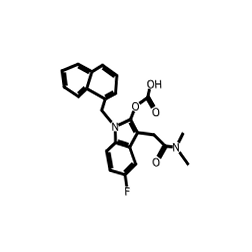 CN(C)C(=O)Cc1c(OC(=O)O)n(Cc2cccc3ccccc23)c2ccc(F)cc12